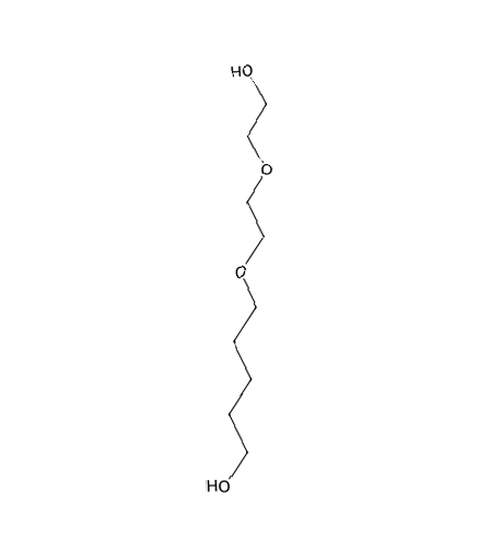 OCCCCCOCCOCCO